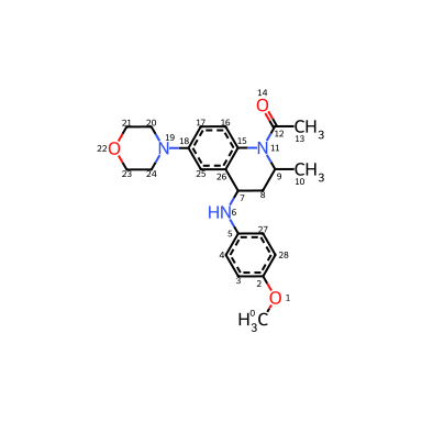 COc1ccc(NC2CC(C)N(C(C)=O)c3ccc(N4CCOCC4)cc32)cc1